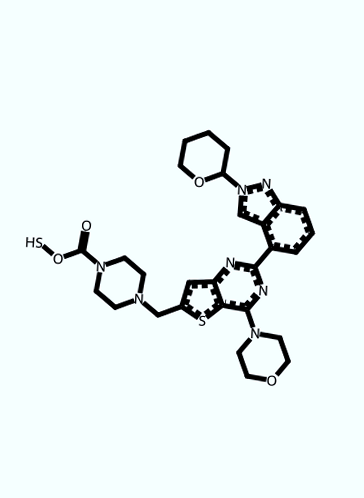 O=C(OS)N1CCN(Cc2cc3nc(-c4cccc5nn(C6CCCCO6)cc45)nc(N4CCOCC4)c3s2)CC1